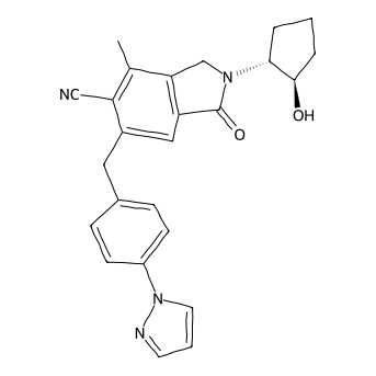 Cc1c(C#N)c(Cc2ccc(-n3cccn3)cc2)cc2c1CN([C@@H]1CCC[C@H]1O)C2=O